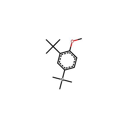 COc1ccc([Si](C)(C)C)cc1C(C)(C)C